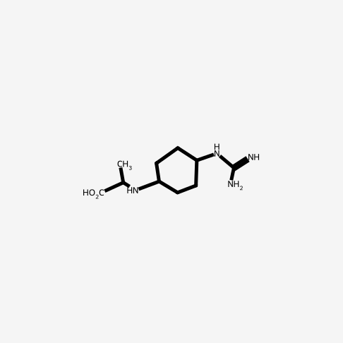 CC(NC1CCC(NC(=N)N)CC1)C(=O)O